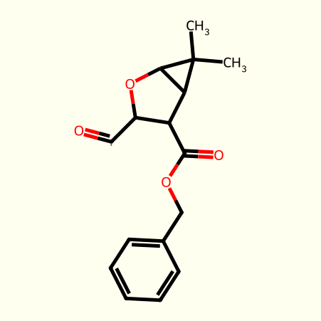 CC1(C)C2OC([C]=O)C(C(=O)OCc3ccccc3)C21